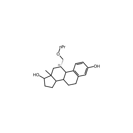 CCCOC[C@H]1CC2(C)C(O)CCC2C2CCc3cc(O)ccc3C21